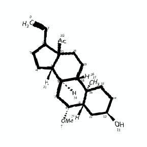 C=CC1CC[C@H]2[C@@H]3C[C@@H](OC)[C@H]4C[C@H](O)CC[C@]4(C)[C@H]3CCC12C(C)=O